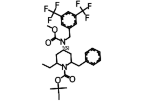 CCC1C[C@H](N(Cc2cc(C(F)(F)F)cc(C(F)(F)F)c2)C(=O)OC)CC(Cc2ccccc2)N1C(=O)OC(C)(C)I